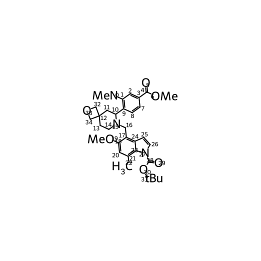 CNc1cc(C(=O)OC)ccc1C1CC2(CCN1Cc1c(OC)cc(C)c3c1ccn3C(=O)OC(C)(C)C)COC2